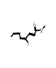 C\C=C/C=C(I)\C=C\C(=O)OC